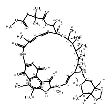 COC(=O)CC(C)(C)C(=O)OC(C)[C@H]1/C=C/C=C(/C)C(=O)NC2=CC(=O)c3c(c(O)c(C)c4c3C(=O)[C@@](C)(O/C=C/[C@H](O[C@H]3C[C@@H]5OCO[C@@H]5[C@@H](C)O3)[C@@H](C)[C@@H](O)[C@H](C)[C@H](O)[C@H](C)C1)O4)C2=O